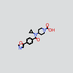 O=C(O)N1CCC(N(C(=O)c2ccc(-c3cnco3)cc2)C2CC2)CC1